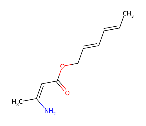 CC=CC=CCOC(=O)C=C(C)N